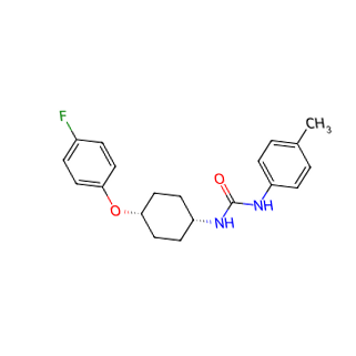 Cc1ccc(NC(=O)N[C@H]2CC[C@@H](Oc3ccc(F)cc3)CC2)cc1